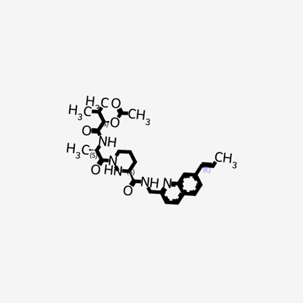 C/C=C/c1ccc2ccc(CNC(=O)[C@@H]3CCCN(C(=O)[C@H](C)NC(=O)[C@@H](OC(C)=O)C(C)C)N3)nc2c1